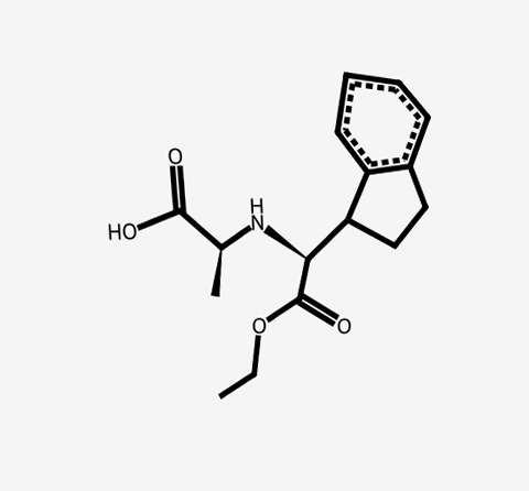 CCOC(=O)[C@@H](N[C@@H](C)C(=O)O)C1CCc2ccccc21